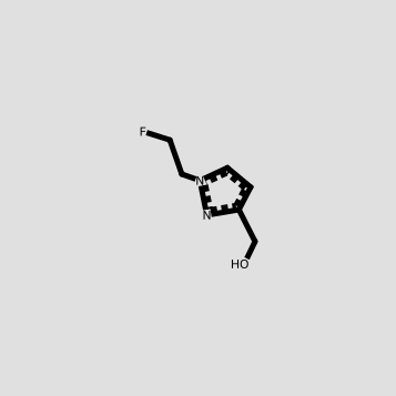 OCc1ccn(CCF)n1